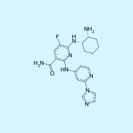 NC(=O)c1cc(F)c(N[C@H]2CCCC[C@H]2N)nc1Nc1ccnc(-n2ccnc2)c1